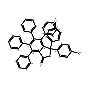 O=C1OC(c2ccc(O)cc2)(c2ccc(O)cc2)c2c1c(-c1ccccc1)c(-c1ccccc1)c(-c1ccccc1)c2-c1ccccc1